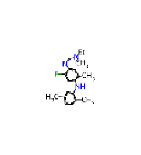 CCN(C)/C=N\c1cc(C)c(Nc2cc(C)ccc2C)cc1F